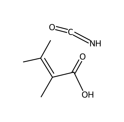 CC(C)=C(C)C(=O)O.N=C=O